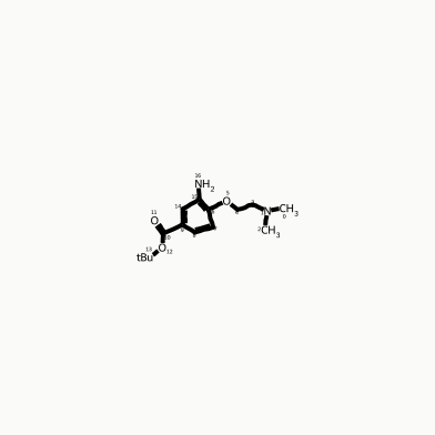 CN(C)CCOc1ccc(C(=O)OC(C)(C)C)cc1N